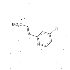 CCOC(=O)C=Cc1cc(Cl)ccn1